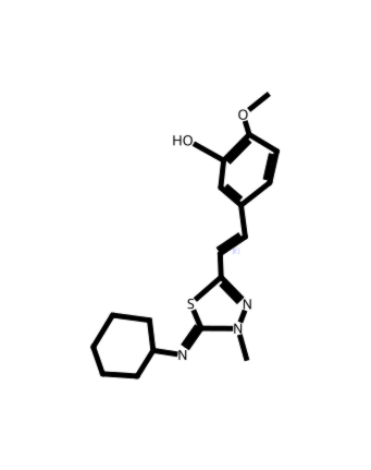 COc1ccc(/C=C/c2nn(C)c(=NC3CCCCC3)s2)cc1O